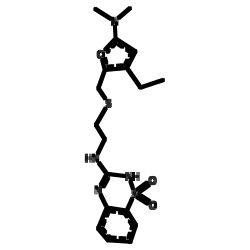 CCc1cc(N(C)C)oc1CSCCNC1=Nc2ccccc2S(=O)(=O)N1